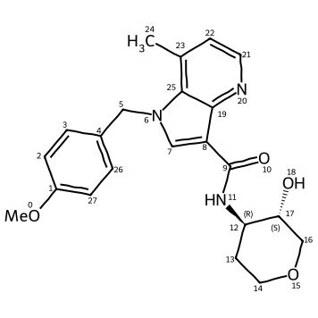 COc1ccc(Cn2cc(C(=O)N[C@@H]3CCOC[C@H]3O)c3nccc(C)c32)cc1